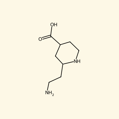 NCCC1CC(C(=O)O)CCN1